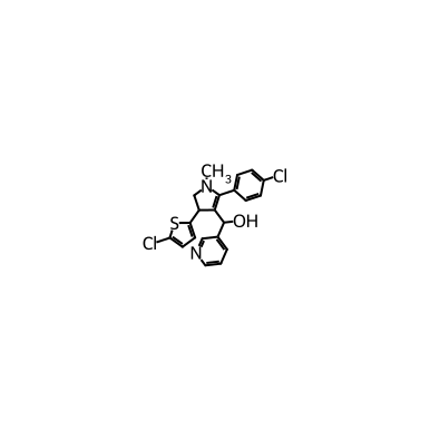 CN1CC(c2ccc(Cl)s2)C(C(O)c2cccnc2)=C1c1ccc(Cl)cc1